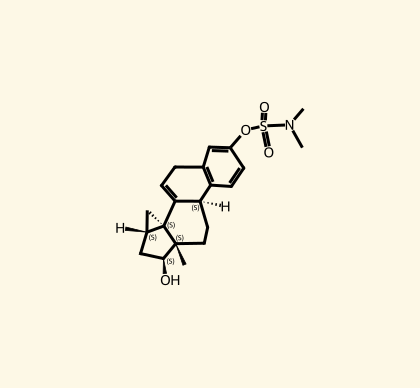 CN(C)S(=O)(=O)Oc1ccc2c(c1)CC=C1[C@@H]2CC[C@]2(C)[C@@H](O)C[C@@H]3C[C@@]132